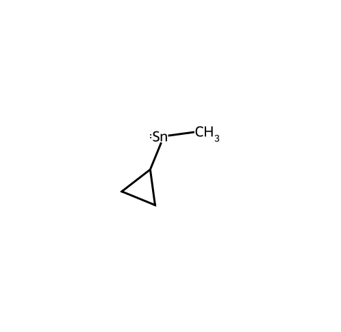 [CH3][Sn][CH]1CC1